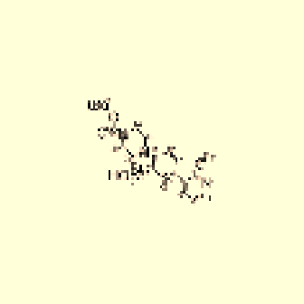 CCOc1ncccc1-c1ccc(N2CCN(C(=O)OC(C)(C)C)C[C@H]2CC)c(C(=O)O)c1F